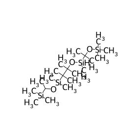 CC(O[Si](C)(C)C(C)(C)C(C)(C)O[SiH](C)C(C)(C)O[Si](C)(C)C)[Si](C)(C)C